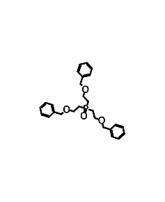 O=P(CCOCc1ccccc1)(CCOCc1ccccc1)CCOCc1ccccc1